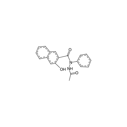 CC(=O)NN(C(=O)c1cc2ccccc2cc1O)c1ccccc1